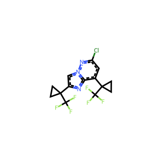 FC(F)(F)C1(c2cn3nc(Cl)cc(C4(C(F)(F)F)CC4)c3n2)CC1